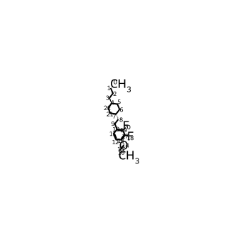 CCCC[C@H]1CC[C@H](CCc2ccc(OCC)c(F)c2F)CC1